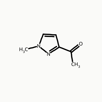 CC(=O)c1ccn(C)n1